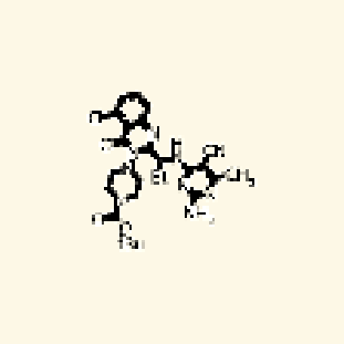 CCC(Nc1nc(N)nc(C)c1C#N)c1nc2cccc(Cl)c2c(=O)n1N1CCN(C(=O)OC(C)(C)C)CC1